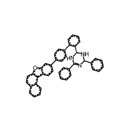 c1ccc(C2=NC(c3ccccc3)NC(c3ccccc3-c3ccc(-c4ccc5c(c4)oc4ccc6ccccc6c45)cc3)N2)cc1